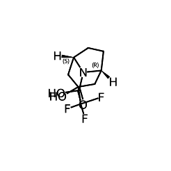 O=C(O)N1[C@@H]2CC[C@H]1CC(O)(C(F)(F)F)C2